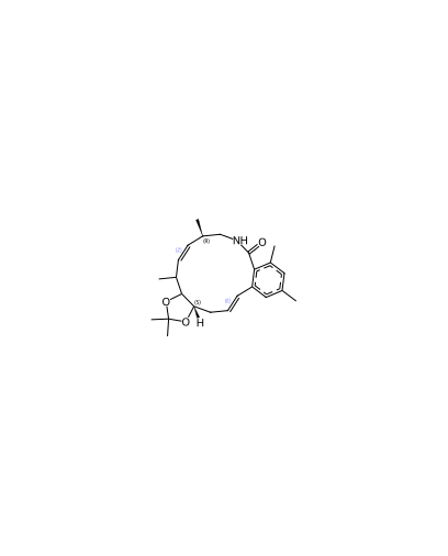 Cc1cc(C)c2c(c1)/C=C/C[C@@H]1OC(C)(C)OC1C(C)/C=C\[C@@H](C)CNC2=O